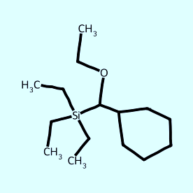 CCOC(C1[CH]CCCC1)[Si](CC)(CC)CC